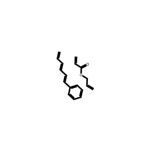 C=CC=CC=Cc1ccccc1.C=CCOC(=O)C=C